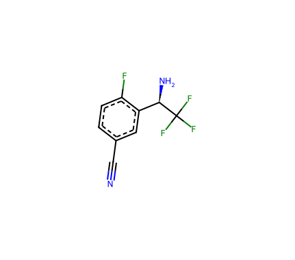 N#Cc1ccc(F)c([C@@H](N)C(F)(F)F)c1